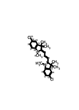 CN1C(=CC=CC2=[N+](C)c3ccc(Cl)cc3C2(C)C)C(C)(C)c2cc(Cl)ccc21